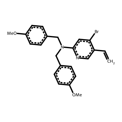 C=Cc1cnc(N(Cc2ccc(OC)cc2)Cc2ccc(OC)cc2)cc1Br